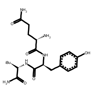 CC[C@H](C)[C@H](NC(=O)[C@H](Cc1ccc(O)cc1)NC(=O)[C@@H](N)CCC(N)=O)C(N)=O